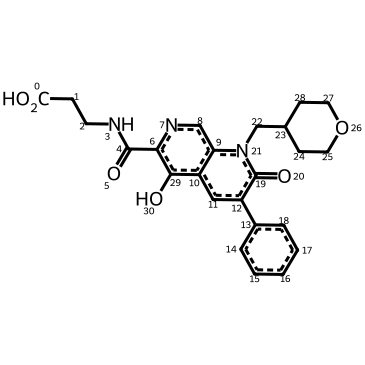 O=C(O)CCNC(=O)c1ncc2c(cc(-c3ccccc3)c(=O)n2CC2CCOCC2)c1O